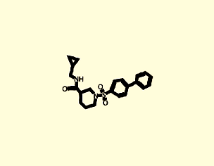 O=C(NCC1CC1)C1CCCN(S(=O)(=O)c2ccc(-c3ccccc3)cc2)C1